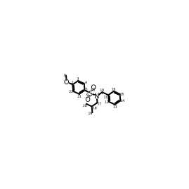 COc1ccc(S(=O)(=O)N([CH]c2ccccc2)CC(C)C)cc1